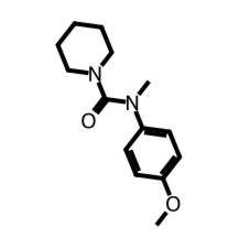 COc1ccc(N(C)C(=O)N2CCCCC2)cc1